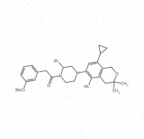 COc1cccc(CC(=O)N2CCN(c3cc(C4CC4)c4c(c3C#N)CC(C)(C)OC4)CC2C(C)C)c1